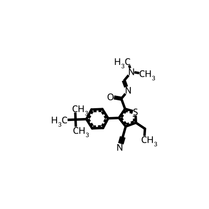 CCc1sc(C(=O)N=CN(C)C)c(-c2ccc(C(C)(C)C)cc2)c1C#N